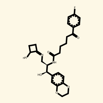 CCCC1CC/C1=N/C[C@@H](NC(=O)CCCCC(=O)c1ccc(F)cc1)[C@H](O)c1ccc2c(c1)OCCO2